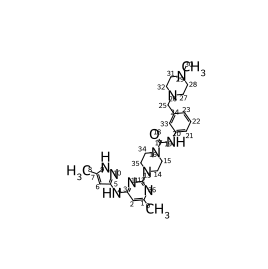 Cc1cc(Nc2cc(C)[nH]n2)nc(N2CCN(C(=O)Nc3cccc(CN4CCN(C)CC4)c3)CC2)n1